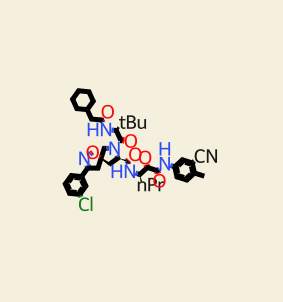 CCC[C@H](NC(=O)[C@@H]1C[C@]2(CC(c3cccc(Cl)c3)=NO2)CN1C(=O)[C@@H](NC(=O)CC1CCCCC1)C(C)(C)C)C(=O)C(=O)Nc1ccc(C)c(C#N)c1